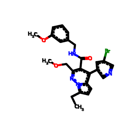 CCc1ccc2c(-c3cncc(Br)c3)c(C(=O)NCc3cccc(OC)c3)c(COC)nn12